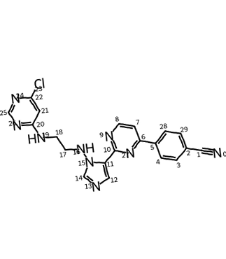 N#Cc1ccc(-c2ccnc(-c3cncn3NCCNc3cc(Cl)ncn3)n2)cc1